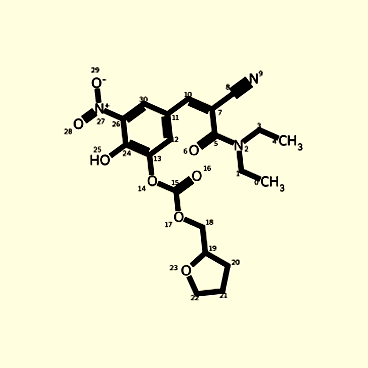 CCN(CC)C(=O)C(C#N)=Cc1cc(OC(=O)OCC2CCCO2)c(O)c([N+](=O)[O-])c1